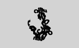 CCCCOc1c(-c2ncc(Cc3ccc(F)cc3)s2)nc2n(CC(=O)N3CCN(C(=O)C(C)(C)C)CC3)ccn2c1=O